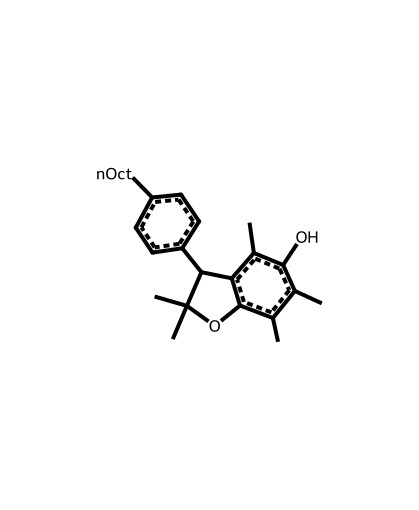 CCCCCCCCc1ccc(C2c3c(C)c(O)c(C)c(C)c3OC2(C)C)cc1